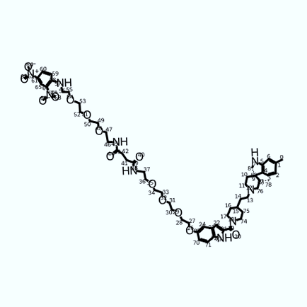 Cc1ccc2c(c1)NC[C@]21CCN(CCC2CCN(C(=O)c3cc4cc(OCCOCCOCCOCCNC(=O)CCC(=O)NCCOCCOCCOCCNc5ccc([N+](=O)[O-])cc5[N+](=O)[O-])ccc4[nH]3)CC2)C[C@H]1C